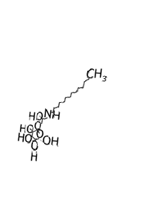 CCCCCCCCCCCCCCNCC(O)CO[C@@H]1O[C@H](CO)[C@H](O)[C@H](O)[C@H]1O